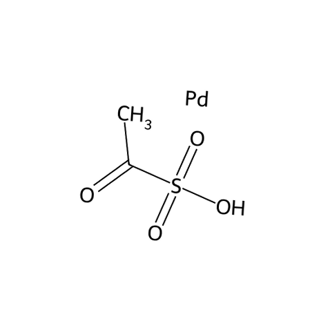 CC(=O)S(=O)(=O)O.[Pd]